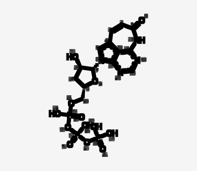 O=C1C=Cc2cn([C@@H]3O[C@H](COP(=O)(O)OP(=O)(O)OP(=O)(O)O)C[C@H]3O)c3ncnc(c23)N1